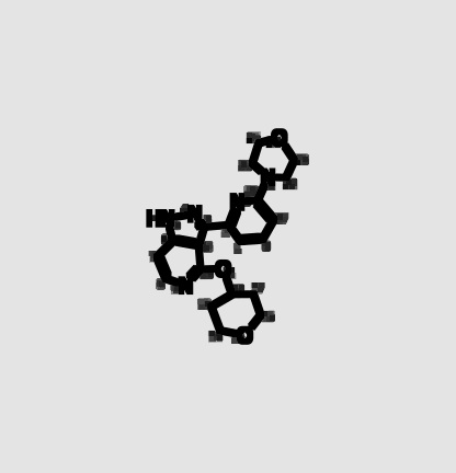 c1cc(-c2n[nH]c3ccnc(OC4CCOCC4)c23)nc(N2CCOCC2)c1